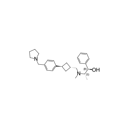 C[C@@H]([C@H](O)c1ccccc1)N(C)C[C@H]1C[C@H](c2ccc(CN3CCCC3)cc2)C1